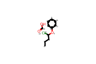 CCCC(Cl)Oc1ccccc1.O=CO